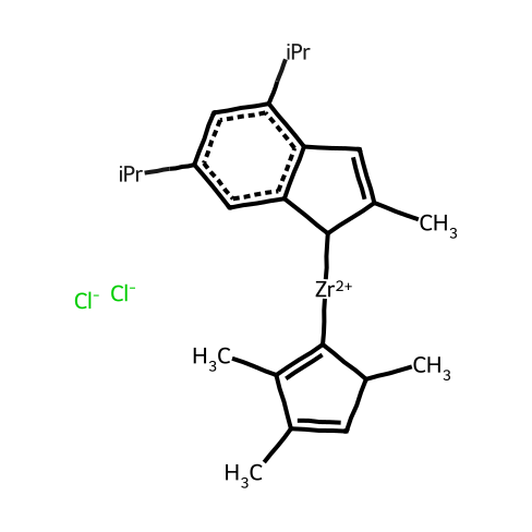 CC1=CC(C)[C]([Zr+2][CH]2C(C)=Cc3c(C(C)C)cc(C(C)C)cc32)=C1C.[Cl-].[Cl-]